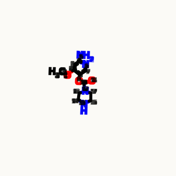 COc1cc(N)ncc1OC(=O)N1CCNCC1